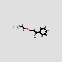 C=CCOCCC(=O)c1ccccc1